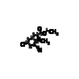 CCOC(=O)c1cc2cc(Cl)cc(C#N)c2n1C